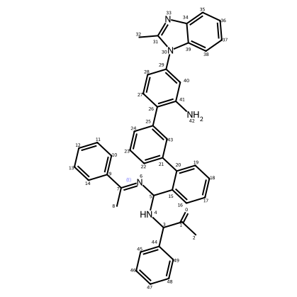 C=C(C)C(NC(/N=C(\C)c1ccccc1)c1ccccc1-c1cccc(-c2ccc(-n3c(C)nc4ccccc43)cc2N)c1)c1ccccc1